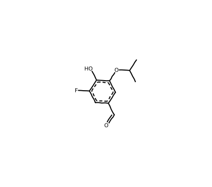 CC(C)Oc1cc(C=O)cc(F)c1O